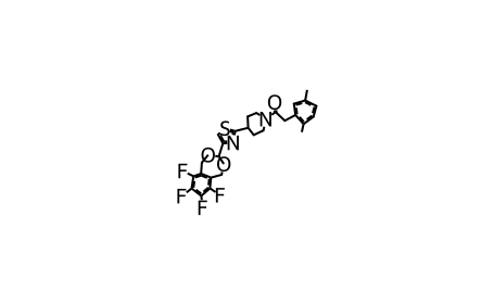 Cc1ccc(C)c(CC(=O)N2CCC(c3nc(C4OCc5c(F)c(F)c(F)c(F)c5CO4)cs3)CC2)c1